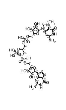 CN1CN([C@@H]2O[C@H](COP(=O)(O)OCC(COP(=O)(O)OC[C@H]3O[C@@H](n4cnc5c(=O)[nH]c(N)nc54)[C@H](O)[C@@H]3O)OP(=O)(O)S)[C@@H](O)[C@H]2O)c2nc(N)[nH]c(=O)c21